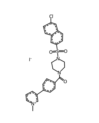 C[n+]1cccc(-c2ccc(C(=O)N3CCN(S(=O)(=O)c4ccc5cc(Cl)ccc5c4)CC3)cc2)c1.[I-]